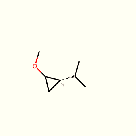 COC1C[C@H]1C(C)C